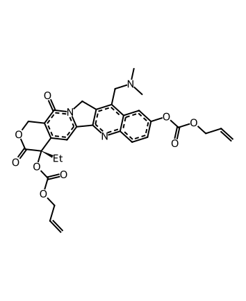 C=CCOC(=O)Oc1ccc2nc3c(c(CN(C)C)c2c1)Cn1c-3cc2c(c1=O)COC(=O)[C@@]2(CC)OC(=O)OCC=C